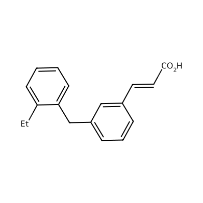 CCc1ccccc1Cc1cccc(/C=C/C(=O)O)c1